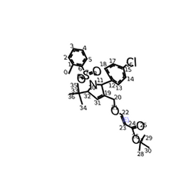 Cc1ccccc1S(=O)(=O)N1C(c2ccc(Cl)cc2)C(CO/C=C/C(=O)OC(C)(C)C)=CC1C(C)(C)C